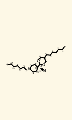 CCCCCCCC1COC([C@]2(C#N)CC[C@@H](CCCCCCC)CC2)OC1